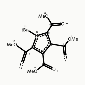 COC(=O)c1c(C(=O)OC)c(C(=O)OC)n(C(C)(C)C)c1C(=O)OC